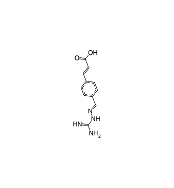 N=C(N)NN=Cc1ccc(/C=C/C(=O)O)cc1